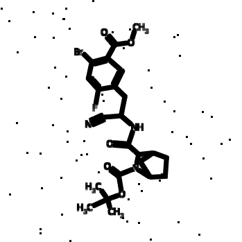 COC(=O)c1cc(CC(C#N)NC(=O)C2C3CCC(C3)N2C(=O)OC(C)(C)C)c(F)cc1Br